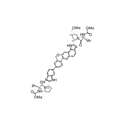 COC[C@H]1C[C@@H](c2nc3ccc4cc5c(cc4c3[nH]2)OCc2cc(-c3ccc4nc([C@@H]6CCCN6C(O)[C@@H](NC(=O)OC)C(C)C)[nH]c4c3)ccc2-5)N(C(=O)[C@@H](NC(=O)OC)C(C)C)C1